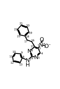 O=[N+]([O-])c1cnc(Nc2ccccc2)nc1CCc1ccccc1